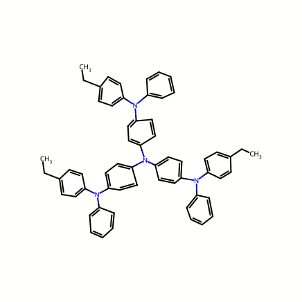 CCc1ccc(N(c2ccccc2)c2ccc(N(c3ccc(N(c4ccccc4)c4ccc(CC)cc4)cc3)c3ccc(N(c4ccccc4)c4ccc(CC)cc4)cc3)cc2)cc1